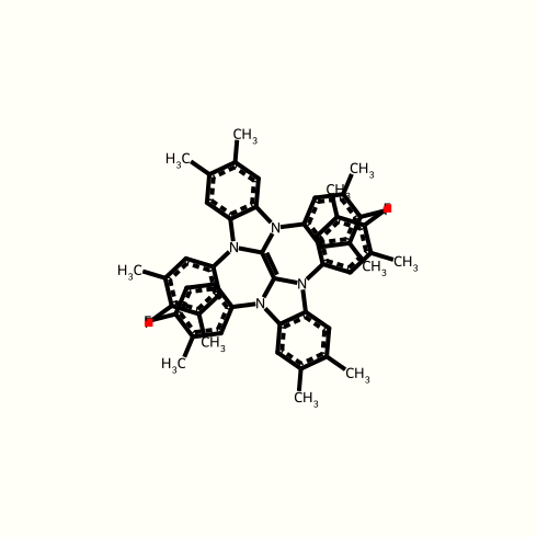 Cc1cc2c(cc1C)N(c1cc(C)c(F)c(C)c1)C(=C1N(c3cc(C)c(F)c(C)c3)c3cc(C)c(C)cc3N1c1cc(C)c(F)c(C)c1)N2c1ccc(F)c(C)c1